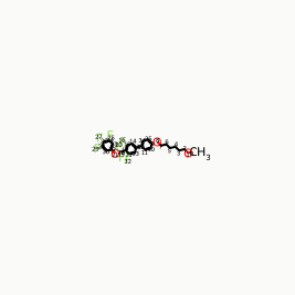 COCCCCCCOc1ccc(-c2cc(F)c(C(F)(F)Oc3cc(F)c(F)c(F)c3)c(F)c2)cc1